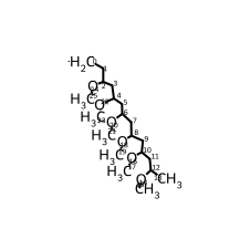 [CH2]CC(CC(CC(CC(CC(CC(C)OC)OC)OC)OC)OC)OC